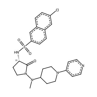 CN(C1CCN(c2ccncc2)CC1)N1CC[C@H](NS(=O)(=O)c2ccc3cc(Cl)ccc3c2)C1=O